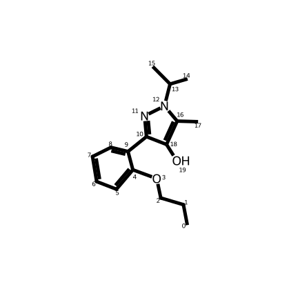 CCCOc1ccccc1-c1nn(C(C)C)c(C)c1O